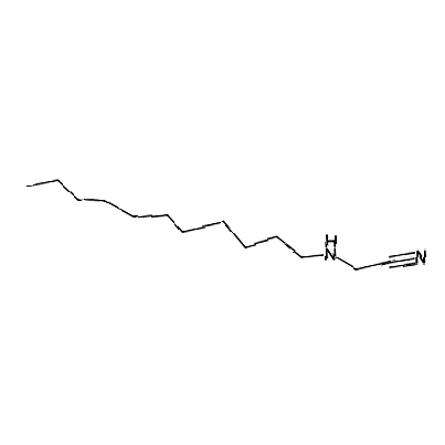 CCCCCCCCCCCNCC#N